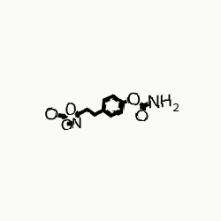 NC(=O)Oc1ccc(CCc2noc(=O)o2)cc1